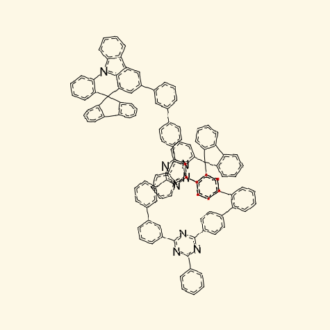 c1ccc(-c2nc(-c3ccc(-c4cccc(-c5cc6c7c(c5)c5ccccc5n7-c5ccccc5C65c6ccccc6-c6ccccc65)c4)cc3)nc(-c3cccc(-c4cccc(-c5nc(-c6ccccc6)nc(-c6ccc(-c7ccccc7-c7ccc8c(c7)C7(c9ccccc9-c9ccccc97)c7cccc9c%10ccccc%10n-8c79)cc6)n5)c4)c3)n2)cc1